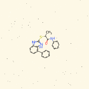 CC(Sc1nc2cccc(-c3ccccc3)c2[nH]1)C(=O)Nc1ccccc1